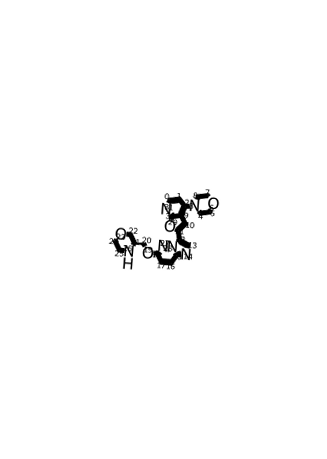 c1cc(N2CCOCC2)c2cc(-c3cnc4ccc(OC[C@@H]5COCCN5)nn34)oc2n1